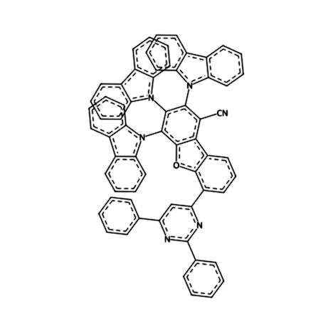 N#Cc1c(-n2c3ccccc3c3ccccc32)c(-n2c3ccccc3c3ccccc32)c(-n2c3ccccc3c3ccccc32)c2oc3c(-c4cc(-c5ccccc5)nc(-c5ccccc5)n4)cccc3c12